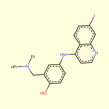 CCCN(CC)Cc1cc(Nc2ccnc3cc(I)ccc23)ccc1O